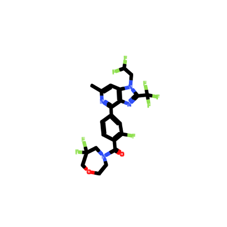 Cc1cc2c(nc(C(F)(F)F)n2CC(F)F)c(-c2ccc(C(=O)N3CCOCC(F)(F)C3)c(F)c2)n1